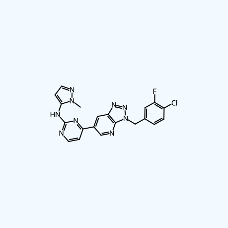 Cn1nccc1Nc1nccc(-c2cnc3c(c2)nnn3Cc2ccc(Cl)c(F)c2)n1